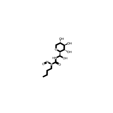 CCCCN(N=O)C(=O)NC(O)[C@H]1OC[C@H](O)[C@@H](O)[C@@H]1O